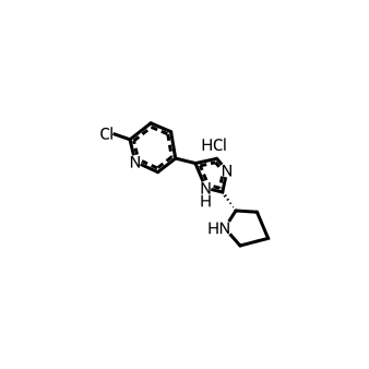 Cl.Clc1ccc(-c2cnc([C@@H]3CCCN3)[nH]2)cn1